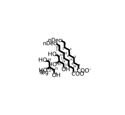 CCCCCCCCCCCCCCCCCC(=O)[O-].CCCCCCCCCCCCCCCCCC(=O)[O-].OCC(O)CO.OCC(O)CO.[Mg+2]